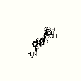 NCCOc1cccc2c1Nc1nc(=O)n([C@H]3C[C@@H](OP(=O)(O)O)C(CO)O3)cc1O2